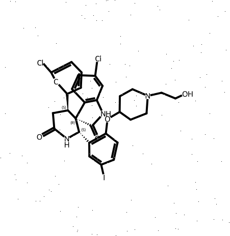 O=C1C[C@@H](C2C=CC=C(Cl)C2)[C@]2(C(=O)Nc3cc(Cl)ccc32)[C@H](c2cc(I)ccc2OC2CCN(CCO)CC2)N1